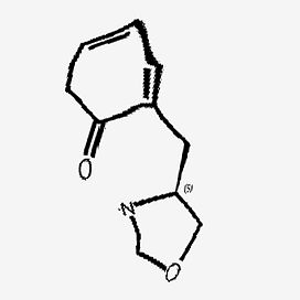 O=C1CC=CC=C1C[C@H]1COC[N]1